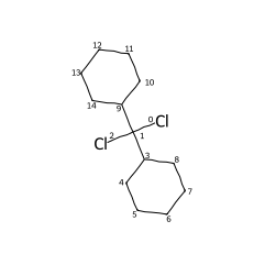 ClC(Cl)(C1CCCCC1)C1CCCCC1